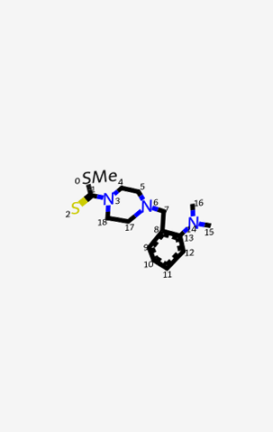 CSC(=S)N1CCN(Cc2ccccc2N(C)C)CC1